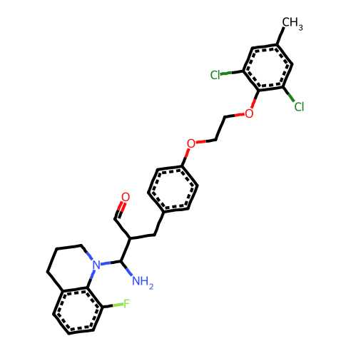 Cc1cc(Cl)c(OCCOc2ccc(CC(C=O)C(N)N3CCCc4cccc(F)c43)cc2)c(Cl)c1